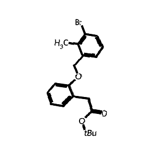 Cc1c(Br)cccc1COc1ccccc1CC(=O)OC(C)(C)C